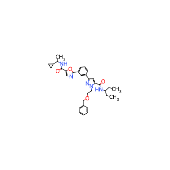 CCC(CC)NC(=O)c1cc(-c2cccc(-c3ncc(C(=O)NC(C)C4CC4)o3)c2)nn1CCOCc1ccccc1